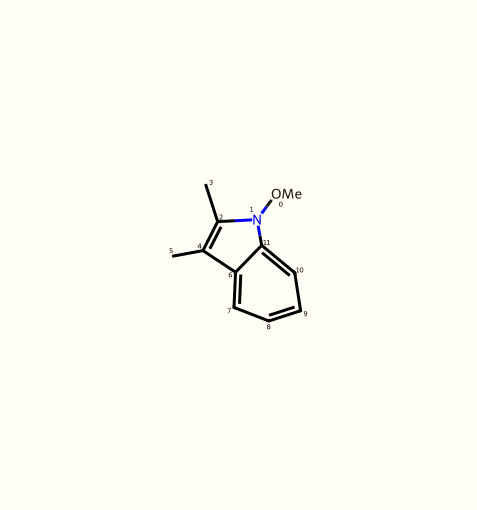 [CH2]On1c(C)c(C)c2ccccc21